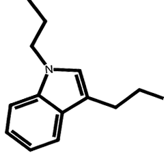 CCCc1cn(CCC)c2ccccc12